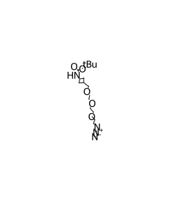 CC(C)(C)OC(=O)NC1CC(COCCOCCOCCN=[N+]=[N-])C1